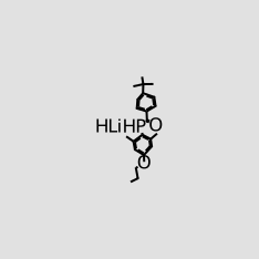 CCCOc1cc(C)c(PC(=O)c2ccc(C(C)(C)C)cc2)c(C)c1.[LiH]